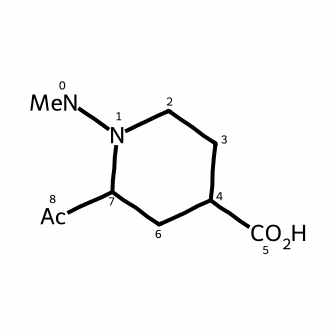 CNN1CCC(C(=O)O)CC1C(C)=O